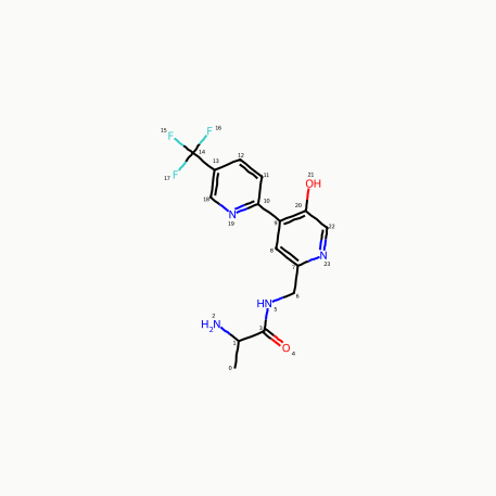 CC(N)C(=O)NCc1cc(-c2ccc(C(F)(F)F)cn2)c(O)cn1